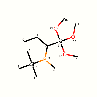 CCC(P(C)[Si](C)(C)C)[Si](OC)(OC)OC